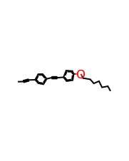 CC#Cc1ccc(C#Cc2ccc(OCCCCCCC)cc2)cc1